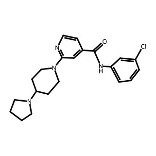 O=C(Nc1cccc(Cl)c1)c1ccnc(N2CCC(N3CCCC3)CC2)c1